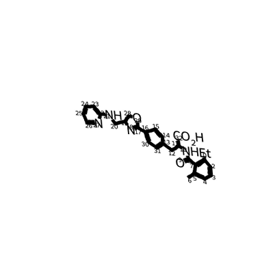 CCc1cccc(C)c1C(=O)NC(Cc1ccc(C2=NC(CNc3ccccn3)CO2)cc1)C(=O)O